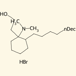 Br.CCCCCCCCCCCCCCC1CCCCC1(CCO)N(C)C